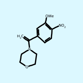 C=C(c1ccc([N+](=O)[O-])c(OC)c1)N1CCOCC1